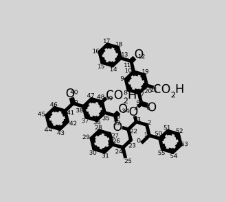 CC(CC(OC(=O)c1ccc(C(=O)c2ccccc2)cc1C(=O)O)C(CC(C)c1ccccc1)OC(=O)c1ccc(C(=O)c2ccccc2)cc1C(=O)O)c1ccccc1